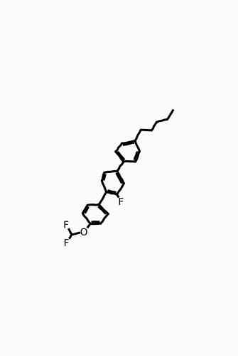 CCCCCc1ccc(-c2ccc(-c3ccc(OC(F)F)cc3)c(F)c2)cc1